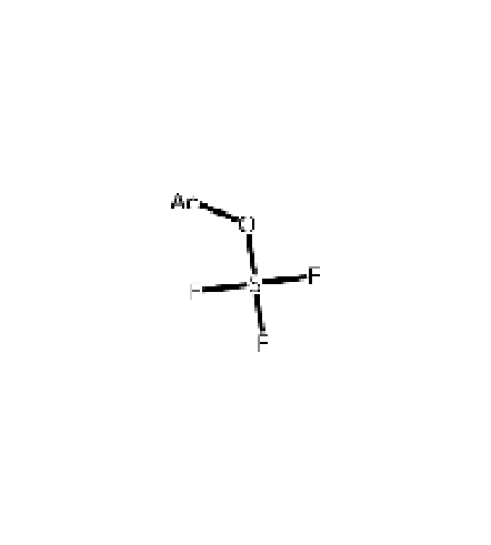 CC(=O)OS(F)(F)F